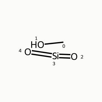 CO.O=[Si]=O